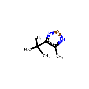 Cc1nsnc1C(C)(C)C